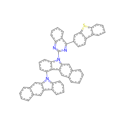 c1ccc2cc3c(cc2c1)c1ccccc1n3-c1cccc2c1c1cc3ccccc3cc1n2-c1nc(-c2ccc3c(c2)sc2ccccc23)c2ccccc2n1